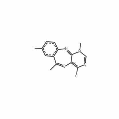 CC1=NC2=C(Cl)N=CN(C)C2=Nc2ccc(F)cc21